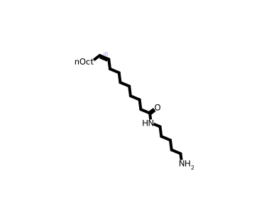 CCCCCCCC/C=C\CCCCCCCC(=O)NCCCCCN